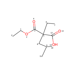 CCOC(=O)C(CC)(CC(C)C)C(=O)O